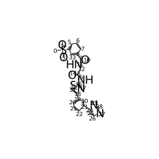 CS(=O)(=O)c1cccc(C(=O)NCC(=O)Nc2nc(-c3cccc(-c4ccncn4)c3)cs2)c1